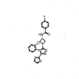 O=C(N[C@H]1C[C@H](c2nnc(-c3nccs3)n2-c2ccccc2Cl)C1)c1ccc(F)cc1